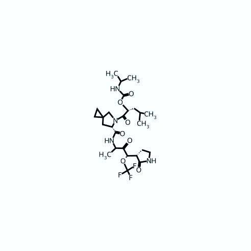 CC(C)C[C@@H](OC(=O)NC(C)C)C(=O)N1CC2(CC2)C[C@H]1C(=O)NC(C)C(=O)[C@@H](OC(F)(F)F)[C@@H]1CCNC1=O